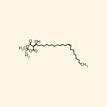 CCCCCCCC/C=C\CCCCCCCCCCCC(O)=C1C(=O)OC(C)(C)OC1=O